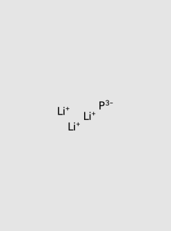 [Li+].[Li+].[Li+].[P-3]